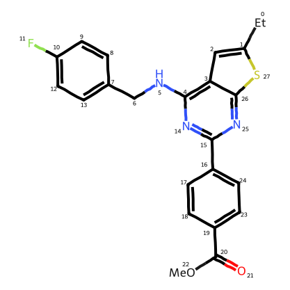 CCc1cc2c(NCc3ccc(F)cc3)nc(-c3ccc(C(=O)OC)cc3)nc2s1